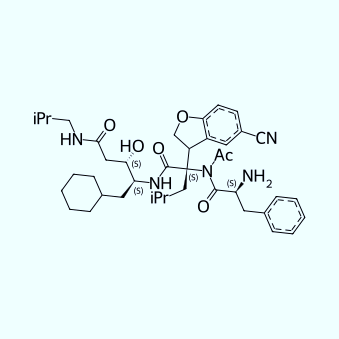 CC(=O)N(C(=O)[C@@H](N)Cc1ccccc1)[C@](CC(C)C)(C(=O)N[C@@H](CC1CCCCC1)[C@@H](O)CC(=O)NCC(C)C)C1COc2ccc(C#N)cc21